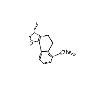 COc1cccc2c1CCc1c-2ssc1=S